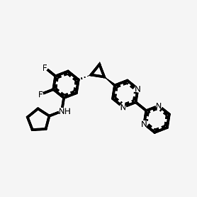 Fc1cc([C@@H]2C[C@H]2c2cnc(-c3ncccn3)nc2)cc(NC2CCCC2)c1F